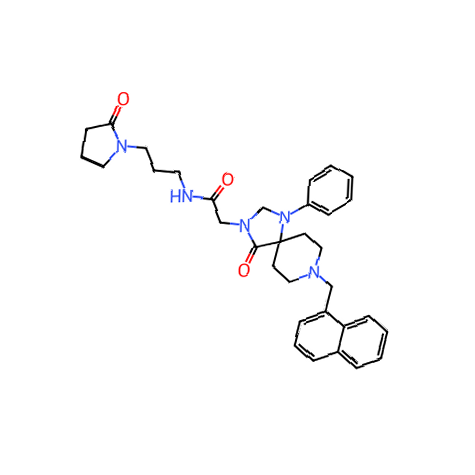 O=C(CN1CN(c2ccccc2)C2(CCN(Cc3cccc4ccccc34)CC2)C1=O)NCCCN1CCCC1=O